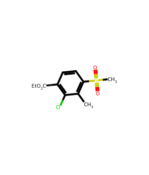 CCOC(=O)c1ccc(S(C)(=O)=O)c(C)c1Cl